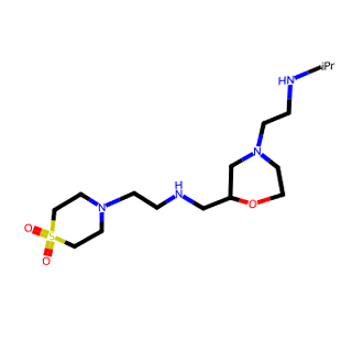 CC(C)NCCN1CCOC(CNCCN2CCS(=O)(=O)CC2)C1